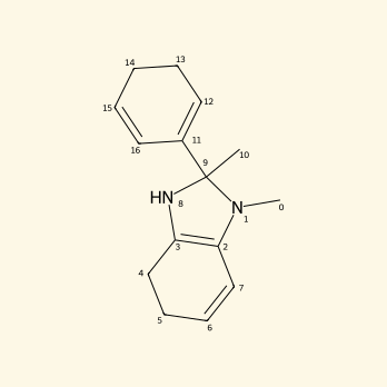 CN1C2=C(CCC=C2)NC1(C)C1=CCCC=C1